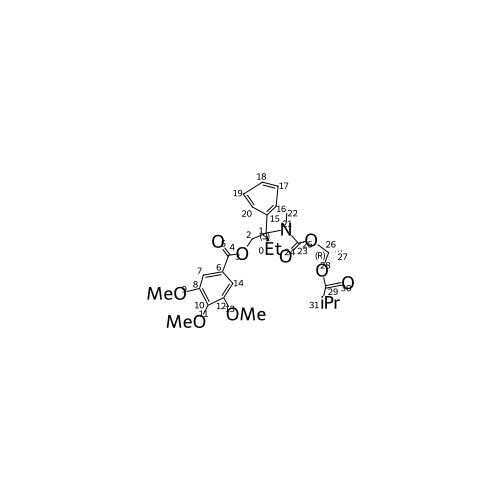 CC[C@@](COC(=O)c1cc(OC)c(OC)c(OC)c1)(c1ccccc1)N(C)C(=O)O[C@H](C)OC(=O)C(C)C